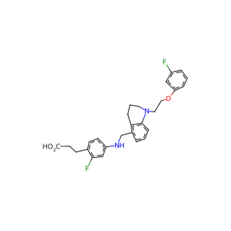 O=C(O)CCc1ccc(NCc2cccc3c2CCCN3CCOc2cccc(F)c2)cc1F